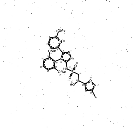 COc1cccc(-c2nnc(NS(=O)(=O)C[C@H](O)c3cc(C)no3)n2-c2c(OC)cccc2OC)n1